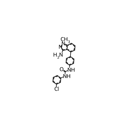 Cn1nc(N)c2c(-c3ccc(NC(=O)Nc4cccc(Cl)c4)cc3)cccc21